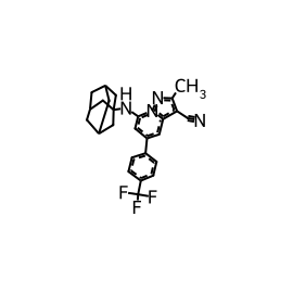 Cc1nn2c(NC34CC5CC(CC(C5)C3)C4)cc(-c3ccc(C(F)(F)F)cc3)cc2c1C#N